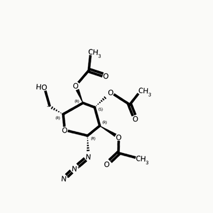 CC(=O)O[C@@H]1[C@@H](OC(C)=O)[C@H](N=[N+]=[N-])O[C@H]([CH]O)[C@H]1OC(C)=O